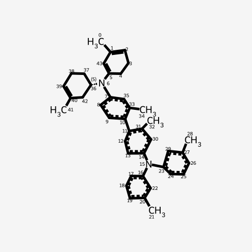 CC1=CCCC(N(c2ccc(-c3ccc(N(c4cccc(C)c4)c4cccc(C)c4)cc3C)c(C)c2)[C@H]2CCC=C(C)C2)=C1